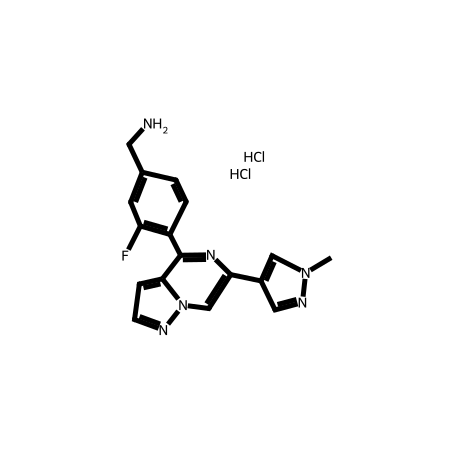 Cl.Cl.Cn1cc(-c2cn3nccc3c(-c3ccc(CN)cc3F)n2)cn1